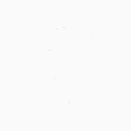 COc1cc(-c2cc(C(=O)N3CCC(C(=O)NCc4ccc5nncn5c4)CC3)n[nH]2)c(Cl)cn1